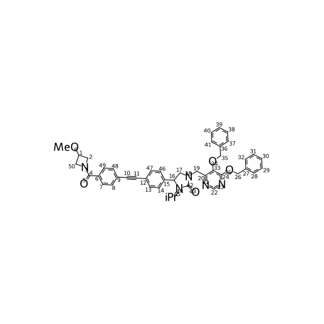 COC1CN(C(=O)c2ccc(C#Cc3ccc(C4CN(Cc5ncnc(OCc6ccccc6)c5OCc5ccccc5)C(=O)N4C(C)C)cc3)cc2)C1